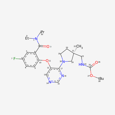 CCN(C(=O)c1cc(F)ccc1Oc1cncnc1N1CC[C@@](C)(CNC(=O)OC(C)(C)C)C1)C(C)C